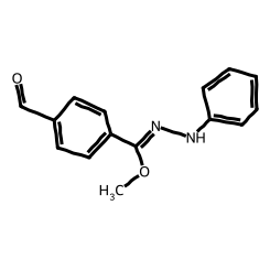 COC(=NNc1ccccc1)c1ccc(C=O)cc1